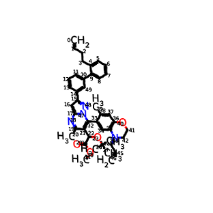 C=CCCc1ccccc1-c1cccc(-c2cc3nc(C)c(C(OC(C)(C)C)C(=O)OC)c(-c4cc5c(cc4C)OCCN5CC=C)n3n2)c1